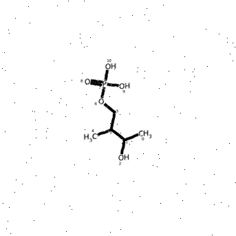 CC(O)C(C)COP(=O)(O)O